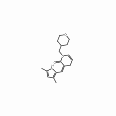 Cc1cc(C)c(/C=C2/CC=CN(CC3CCOCC3)C2=O)[nH]1